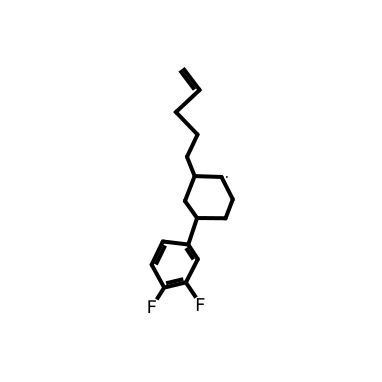 C=CCCCC1[CH]CCC(c2ccc(F)c(F)c2)C1